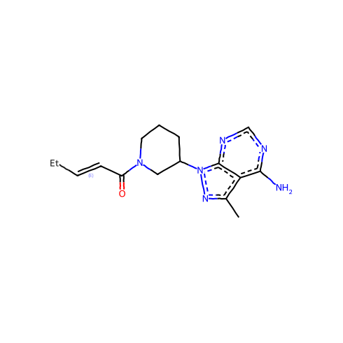 CC/C=C/C(=O)N1CCCC(n2nc(C)c3c(N)ncnc32)C1